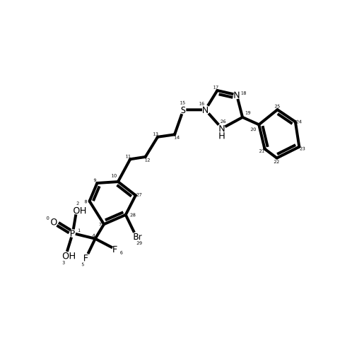 O=P(O)(O)C(F)(F)c1ccc(CCCCSN2C=NC(c3ccccc3)N2)cc1Br